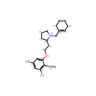 COc1c(Cl)cc(Cl)cc1OCCC1CCCN1CC1=CCCCC1